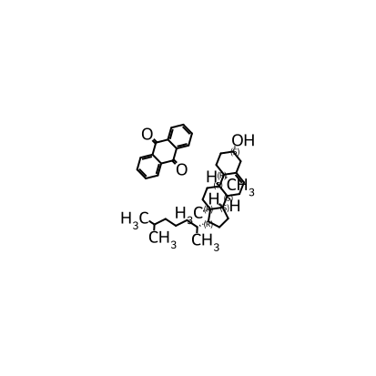 CC(C)CCCC(C)[C@H]1CC[C@H]2[C@@H]3CC=C4C[C@@H](O)CC[C@]4(C)[C@H]3CC[C@]12C.O=C1c2ccccc2C(=O)c2ccccc21